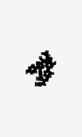 Cc1cc(N2CCN(CC(O)CO)CC2)cc2c(N(C)c3nc(-c4ccc(F)cc4)c(C#N)s3)c(C3CC3)nn12